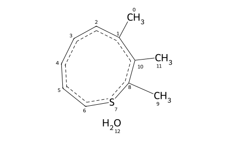 Cc1cccccsc(C)c1C.O